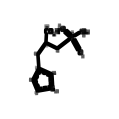 CC(C)(C)S(=O)(=O)CC(Cc1ccsc1)C(=O)O